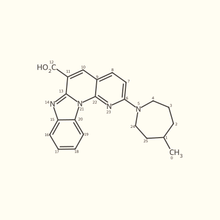 CC1CCCN(c2ccc3cc(C(=O)O)c4nc5ccccc5n4c3n2)CC1